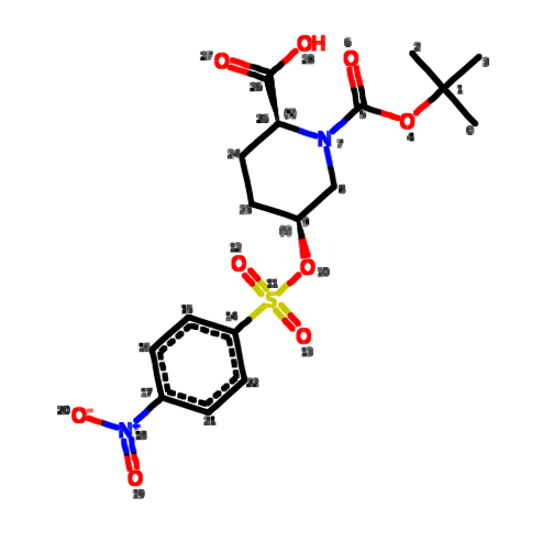 CC(C)(C)OC(=O)N1C[C@@H](OS(=O)(=O)c2ccc([N+](=O)[O-])cc2)CC[C@H]1C(=O)O